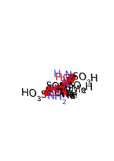 COc1cc(-c2ccc(N=Nc3c(S(=O)(=O)O)cc4cc(S(=O)(=O)O)cc(N)c4c3O)c(OC)c2)ccc1N=Nc1c(S(=O)(=O)O)cc2cc(S(=O)(=O)O)cc(N)c2c1O.[Na].[Na].[Na].[Na]